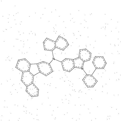 c1ccc(-c2ccccc2-n2c3ccccc3c3cc(N(c4ccc5c(c4)-c4cccc6cc7ccccc7c-5c46)c4cccc5ccccc45)ccc32)cc1